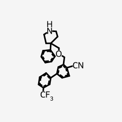 N#Cc1ccc(-c2cccc(C(F)(F)F)c2)cc1COCC1(c2ccccc2)CCNCC1